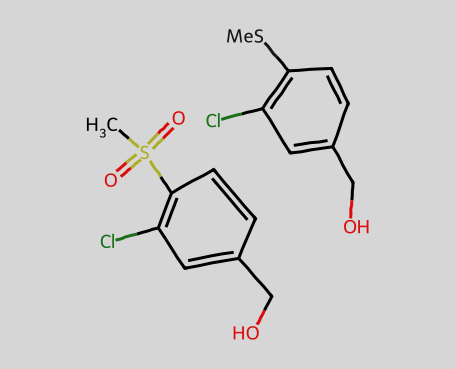 CS(=O)(=O)c1ccc(CO)cc1Cl.CSc1ccc(CO)cc1Cl